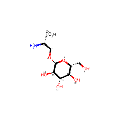 N[C@@H](CO[C@@H]1O[C@H](CO)[C@@H](O)[C@H](O)[C@H]1O)C(=O)O